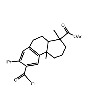 CC(=O)OC(=O)C1(C)CCCC2(C)c3cc(C(=O)Cl)c(C(C)C)cc3CCC12